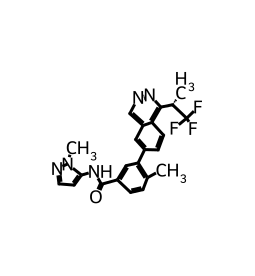 Cc1ccc(C(=O)Nc2ccnn2C)cc1-c1ccc2c([C@H](C)C(F)(F)F)nncc2c1